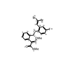 CNC(=O)/C(=N/OC)c1ccccc1COc1ccc(F)cc1C=C(Br)Br